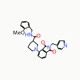 COc1ccccc1CNC(=O)C1CCCN(c2cccc3c2C(=O)N(Cc2ccncc2)C3=O)C1